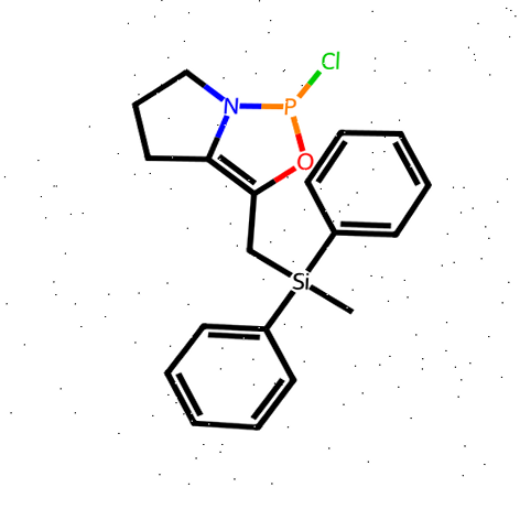 C[Si](CC1=C2CCCN2P(Cl)O1)(c1ccccc1)c1ccccc1